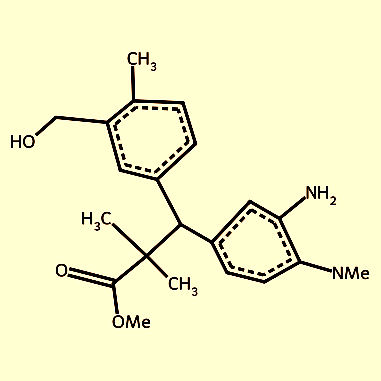 CNc1ccc(C(c2ccc(C)c(CO)c2)C(C)(C)C(=O)OC)cc1N